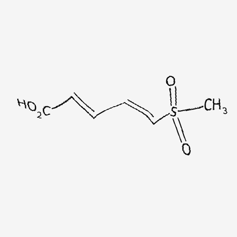 CS(=O)(=O)C=CC=CC(=O)O